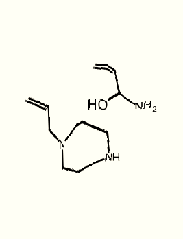 C=CC(N)O.C=CCN1CCNCC1